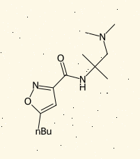 CCCCc1cc(C(=O)NC(C)(C)CN(C)C)no1